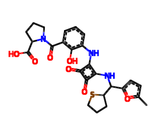 Cc1ccc(C(Nc2c(Nc3cccc(C(=O)N4CCCC4C(=O)O)c3O)c(=O)c2=O)C2CCCS2)o1